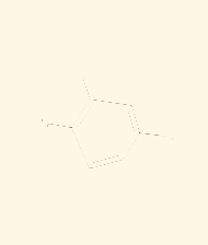 Cc1cc(Br)ccc1N=O